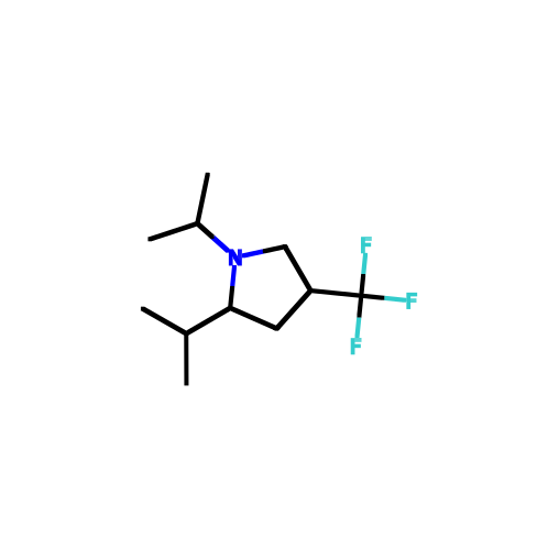 CC(C)C1CC(C(F)(F)F)CN1C(C)C